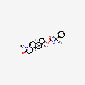 CN1C(=O)CC[C@@]2(C)C1=CC[C@H]1[C@@H]3CC[C@H](OC(=O)NC(C)(C)c4ccccc4)[C@@]3(C)CC[C@@H]12